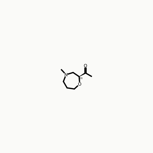 CC(=O)[C@@H]1CN(C)CCCO1